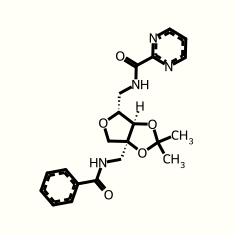 CC1(C)O[C@@H]2[C@@H](CNC(=O)c3ncccn3)OC[C@]2(CNC(=O)c2ccccc2)O1